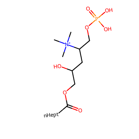 CCCCCCCC(=O)OCC(O)CC(COP(=O)(O)O)[N+](C)(C)C